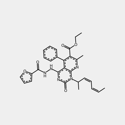 C/C=C\C=C/C(C)n1c(=O)nc(NNC(=O)c2ccco2)c2c(-c3ccccc3)c(C(=O)OCC)c(C)nc21